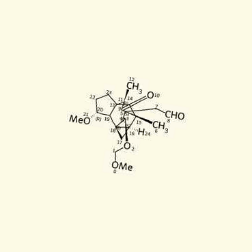 COCO[C@@H]1C[C@@](C)(CC=O)C(=O)[C@H](C)C23CC[C@H]4C[C@]41C2[C@H](OC)CC3